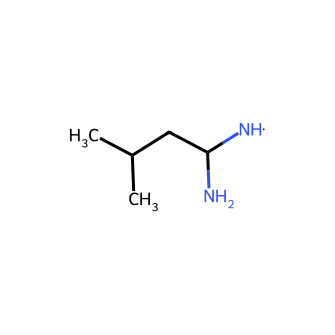 CC(C)CC([NH])N